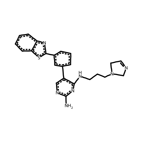 Nc1ncc(-c2cccc(-c3nc4ccccc4s3)c2)c(NCCCN2CC=NC2)n1